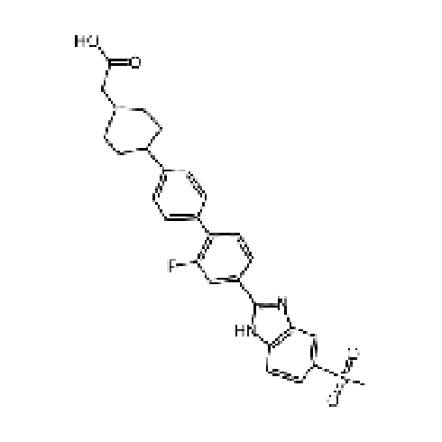 CS(=O)(=O)c1ccc2[nH]c(-c3ccc(-c4ccc(C5CCC(CC(=O)O)CC5)cc4)c(F)c3)nc2c1